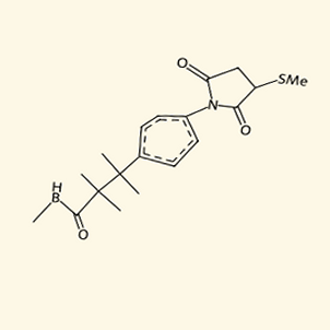 CBC(=O)C(C)(C)C(C)(C)c1ccc(N2C(=O)CC(SC)C2=O)cc1